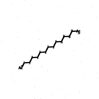 CC(=O)CCCCCCCCCCCCCC(C)=O